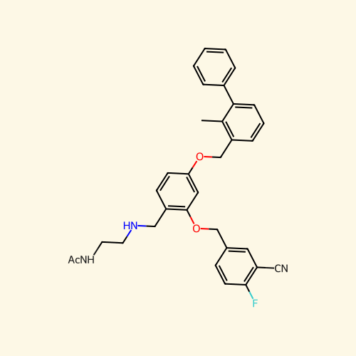 CC(=O)NCCNCc1ccc(OCc2cccc(-c3ccccc3)c2C)cc1OCc1ccc(F)c(C#N)c1